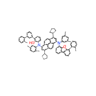 Cc1cc(C)cc(N(c2cc(C3CCCC3)c3ccc4c(N(c5cc(C)ccc5C)c5cccc(-c6cccc(-c7ccccc7C)c6)c5O)cc(C5CCCC5)c5ccc2c3c54)c2cccc3c2oc2c(-c4ccccc4C)cccc23)c1